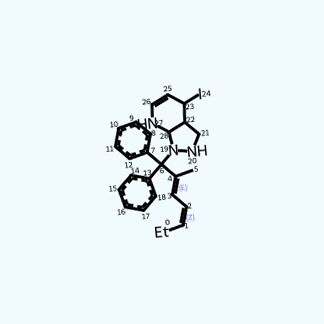 CC/C=C\C=C(/C)C(c1ccccc1)(c1ccccc1)N1NCC2C(I)C=CNC21